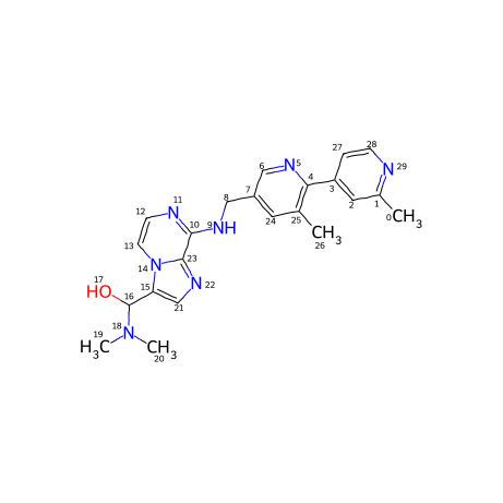 Cc1cc(-c2ncc(CNc3nccn4c(C(O)N(C)C)cnc34)cc2C)ccn1